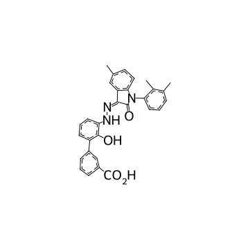 Cc1ccc2c(c1)C(=NNc1cccc(-c3cccc(C(=O)O)c3)c1O)C(=O)N2c1cccc(C)c1C